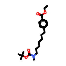 CCOC(=O)c1ccc(CCCCCCCN(C)C(=O)OC(C)(C)C)cc1